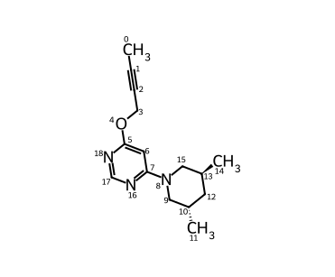 CC#CCOc1cc(N2C[C@@H](C)C[C@H](C)C2)ncn1